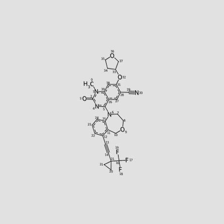 Cn1c(=O)nc(N2CCOCc3c(C#CC4(C(F)(F)F)CC4)cccc32)c2cc(C#N)c(OC3CCOC3)cc21